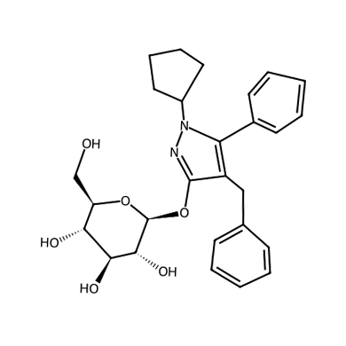 OC[C@H]1O[C@@H](Oc2nn(C3CCCC3)c(-c3ccccc3)c2Cc2ccccc2)[C@H](O)[C@@H](O)[C@@H]1O